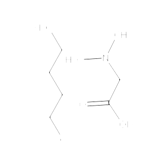 CCCCCCl.CN(C)CC(=O)O